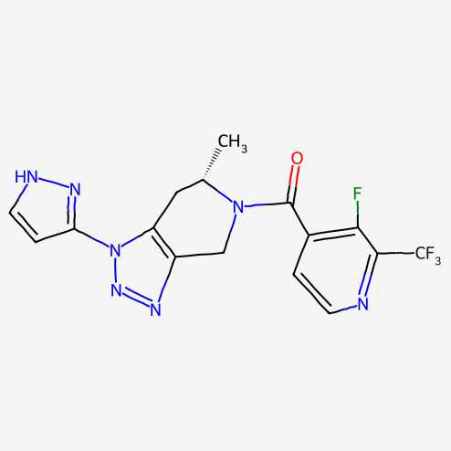 C[C@H]1Cc2c(nnn2-c2cc[nH]n2)CN1C(=O)c1ccnc(C(F)(F)F)c1F